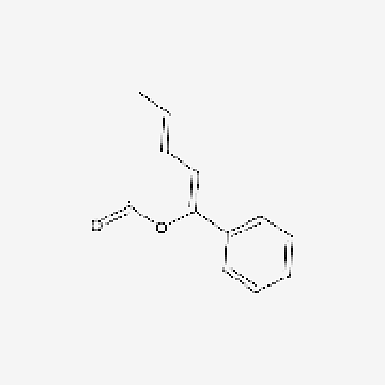 CC=CC=C(O[C]=O)c1ccccc1